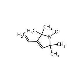 C=CC1=CC(C)(C)N([O])C1(C)C